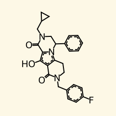 O=C1c2c(O)c3n(c2CCN1Cc1ccc(F)cc1)C(c1ccccc1)CN(CC1CC1)C3=O